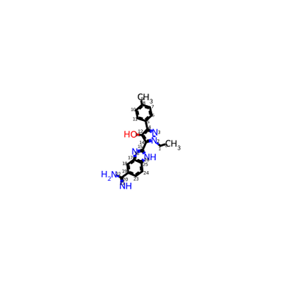 CCn1nc(-c2ccc(C)cc2)c(O)c1-c1nc2cc(C(=N)N)ccc2[nH]1